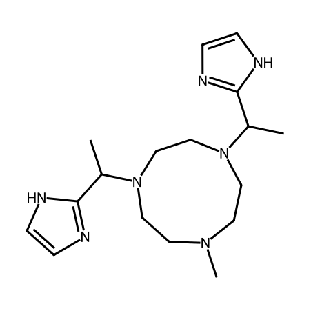 CC(c1ncc[nH]1)N1CCN(C)CCN(C(C)c2ncc[nH]2)CC1